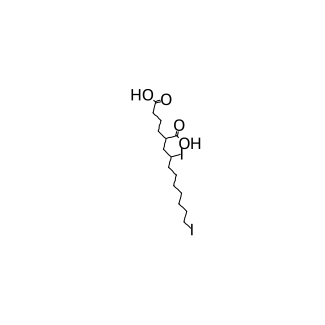 O=C(O)CCCC(CC(I)CCCCCCCI)C(=O)O